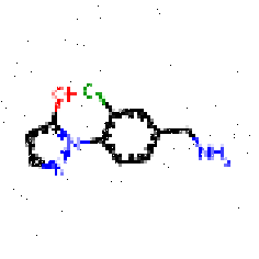 NCc1ccc(-n2nccc2O)c(Cl)c1